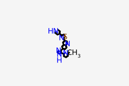 Cc1cccc(-c2[nH]cnc2-c2ccc3ncc(-c4nc(C5=CCNCC5)cs4)cc3c2)n1